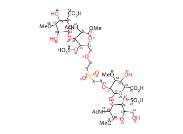 COC1OC(COCCS(=O)(=O)CCOC2C(OC3C(NC(C)=O)C(OC)OC(CO)C3OS(=O)(=O)O)OC(C(=O)O)C(O)C2OC)C(OS(=O)(=O)O)C(OC2OC(C(=O)O)C(O)C(OC)C2O)C1NC(C)=O